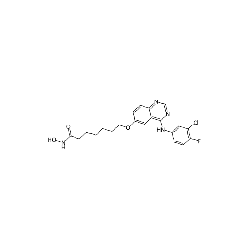 O=C(CCCCCCOc1ccc2ncnc(Nc3ccc(F)c(Cl)c3)c2c1)NO